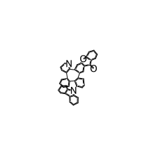 O=c1c2ccccc2oc2cc3c(cc12)-c1cccc(-n2c4ccccc4c4ccccc42)c1-c1ccccc1-c1cccnc1-3